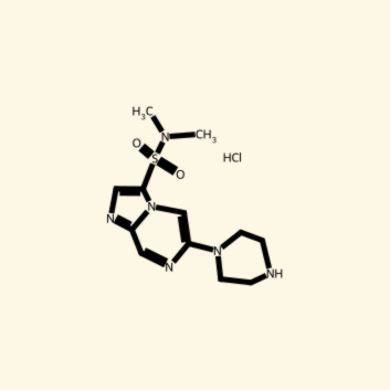 CN(C)S(=O)(=O)c1cnc2cnc(N3CCNCC3)cn12.Cl